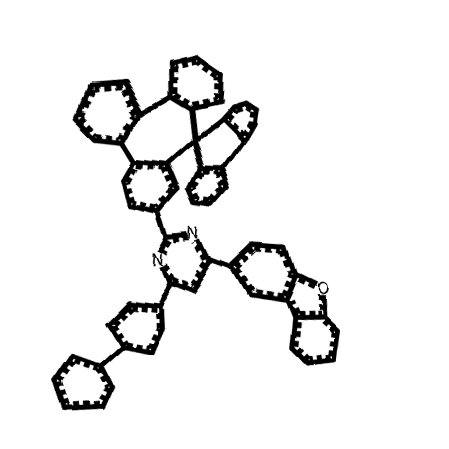 c1ccc(-c2ccc(-c3cc(-c4ccc5oc6ccccc6c5c4)nc(-c4ccc5c(c4)C4(c6ccccc6-c6ccccc6-5)c5ccccc5-c5ccccc54)n3)cc2)cc1